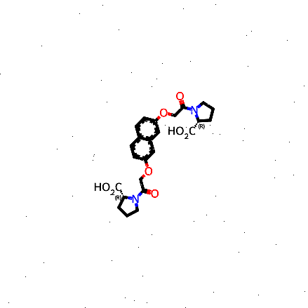 O=C(O)[C@H]1CCCN1C(=O)COc1ccc2ccc(OCC(=O)N3CCC[C@@H]3C(=O)O)cc2c1